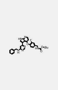 CC(C)(C)OC(=O)NCc1ccc(Oc2ccnc3[nH]cc(-c4cc(NCc5ccccc5)ncn4)c23)c(F)c1